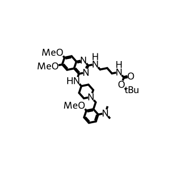 COc1cc2nc(NCCCNC(=O)OC(C)(C)C)nc(NC3CCN(Cc4c(OC)cccc4N(C)C)CC3)c2cc1OC